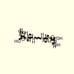 O=[PH](O)O[C@@H]1C(CO)OC(n2cnc3c(NC/C=C/CNc4ncnc5c4ncn5[C@@H]4O[C@H](CO)[C@@H](O[PH](O)=S)[C@H]4F)ncnc32)[C@@H]1F